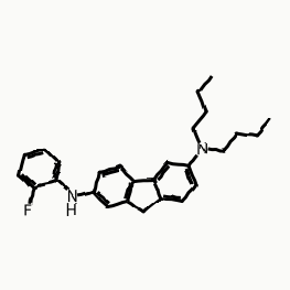 CCCCN(CCCC)c1ccc2c(c1)-c1ccc(Nc3ccccc3F)cc1C2